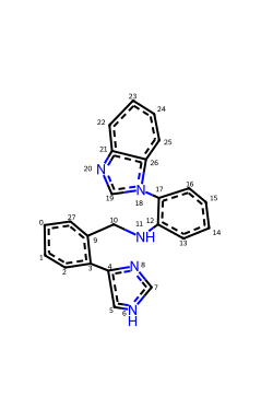 c1ccc(-c2c[nH]cn2)c(CNc2ccccc2-n2cnc3ccccc32)c1